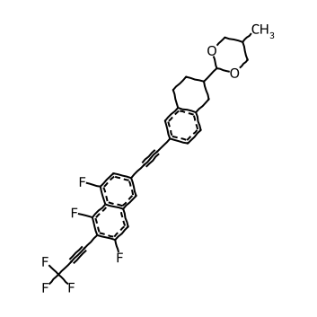 CC1COC(C2CCc3cc(C#Cc4cc(F)c5c(F)c(C#CC(F)(F)F)c(F)cc5c4)ccc3C2)OC1